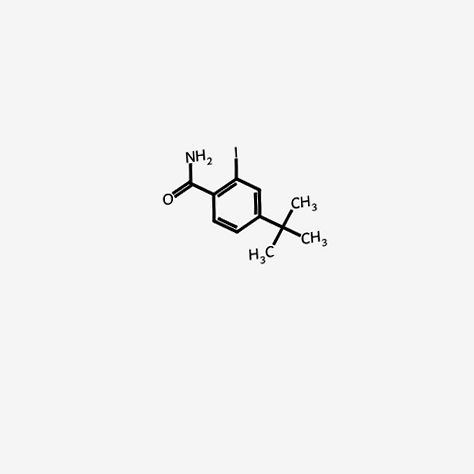 CC(C)(C)c1ccc(C(N)=O)c(I)c1